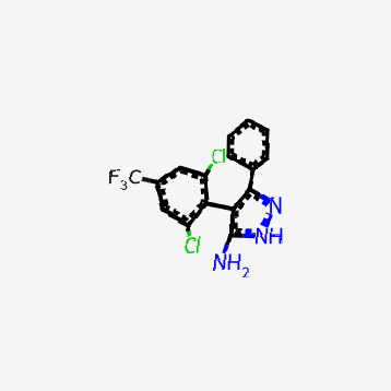 Nc1[nH]nc(-c2ccccc2)c1-c1c(Cl)cc(C(F)(F)F)cc1Cl